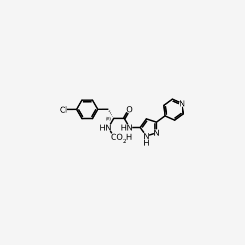 O=C(O)N[C@H](Cc1ccc(Cl)cc1)C(=O)Nc1cc(-c2ccncc2)n[nH]1